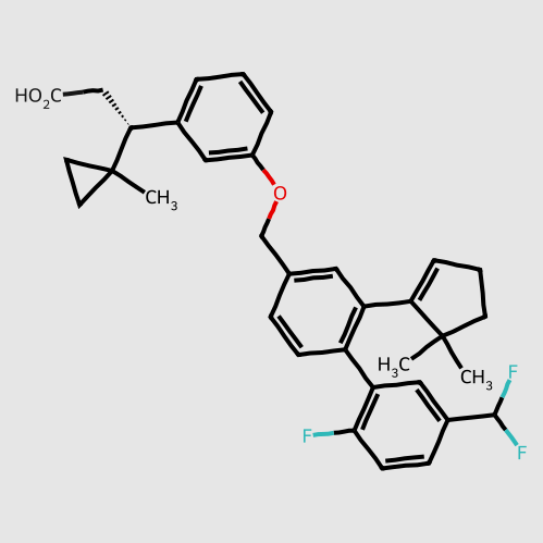 CC1(C)CCC=C1c1cc(COc2cccc([C@@H](CC(=O)O)C3(C)CC3)c2)ccc1-c1cc(C(F)F)ccc1F